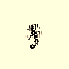 Cc1cc(NS(C)(=O)=O)cc(C)c1NCC1CCN(Cc2ccccc2)C1